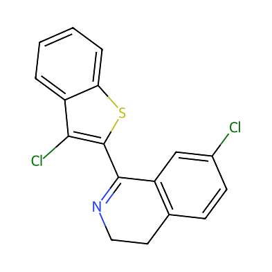 Clc1ccc2c(c1)C(c1sc3ccccc3c1Cl)=NCC2